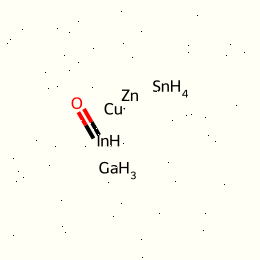 [Cu].[GaH3].[O]=[InH].[SnH4].[Zn]